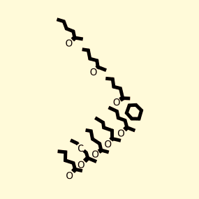 C1CCCCC1.CCCCC(C)=O.CCCCC(C)=O.CCCCC(C)=O.CCCCC(C)=O.CCCCC(C)=O.CCCCC(C)=O.CCCCC(C)=O.CCCCC(C)=O